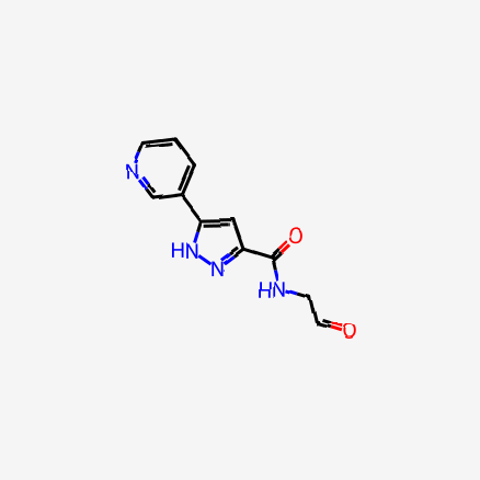 O=CCNC(=O)c1cc(-c2cccnc2)[nH]n1